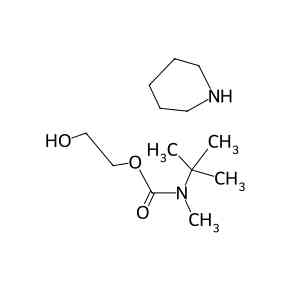 C1CCNCC1.CN(C(=O)OCCO)C(C)(C)C